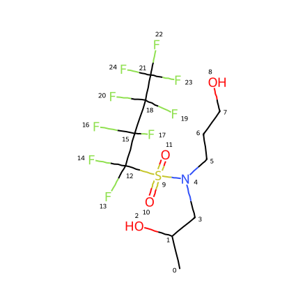 CC(O)CN(CCCO)S(=O)(=O)C(F)(F)C(F)(F)C(F)(F)C(F)(F)F